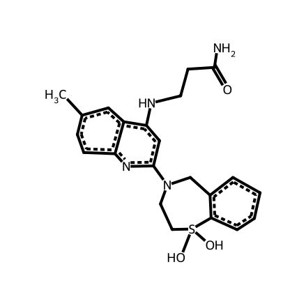 Cc1ccc2nc(N3CCS(O)(O)c4ccccc4C3)cc(NCCC(N)=O)c2c1